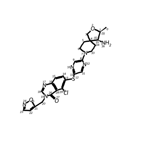 C[C@@H]1OCC2(CCN(c3cnc(Sc4ccc5ncn(Cc6ccno6)c(=O)c5c4Cl)cn3)CC2)[C@@H]1N